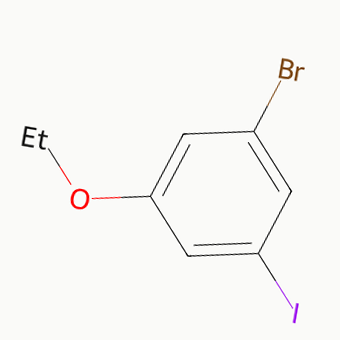 CCOc1cc(Br)cc(I)c1